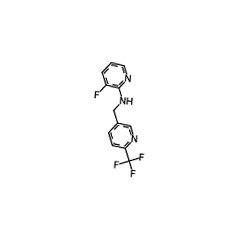 Fc1cccnc1NCc1ccc(C(F)(F)F)nc1